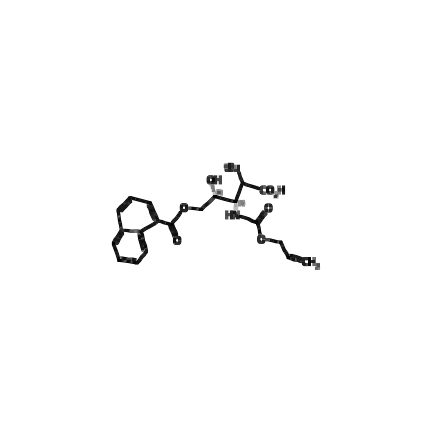 C=CCOC(=O)N[C@@H](C(C(=O)O)C(C)(C)C)[C@@H](O)COC(=O)c1cccc2ccccc12